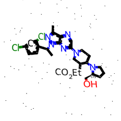 CCOC(=O)C1CN(c2cnc3c(C)nn(C(C)c4ccc(Cl)cc4Cl)c3n2)CCC1N1CCC[C@H]1CO